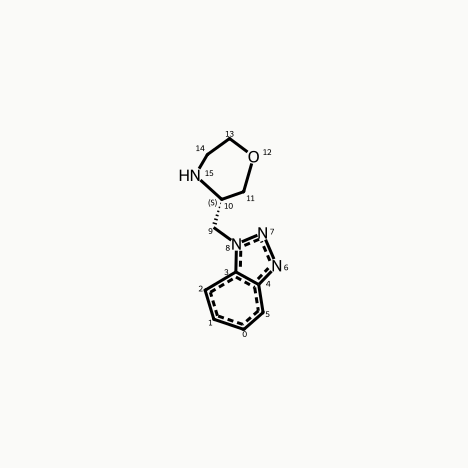 c1ccc2c(c1)nnn2C[C@H]1COCCN1